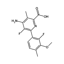 COc1c(C)ccc(-c2nc(C(=O)O)c(C)c(N)c2F)c1F